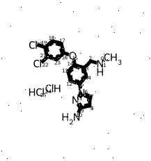 CNCc1cc(-n2ccc(N)n2)ccc1Oc1ccc(Cl)c(Cl)c1.Cl.Cl